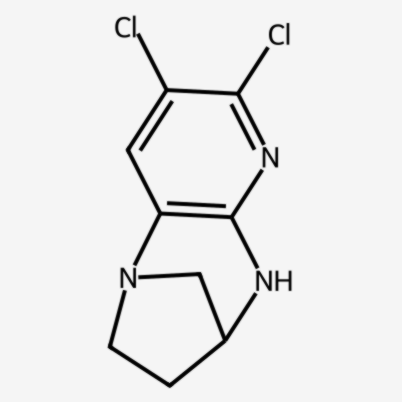 Clc1cc2c(nc1Cl)NC1CCN2C1